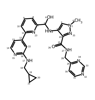 Cn1cc(NC(O)c2cccc(-c3ccnc(NCC4CC4)c3)n2)c(C(=O)NCc2ccncn2)n1